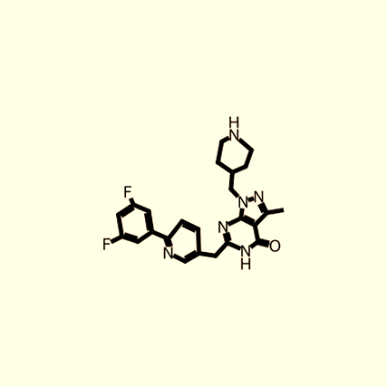 Cc1nn(CC2CCNCC2)c2nc(Cc3ccc(-c4cc(F)cc(F)c4)nc3)[nH]c(=O)c12